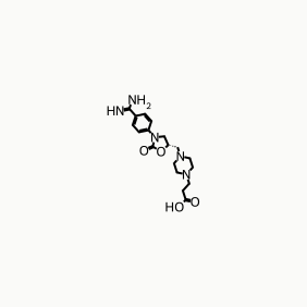 N=C(N)c1ccc(N2C[C@H](CN3CCN(CCC(=O)O)CC3)OC2=O)cc1